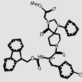 COC(=O)CN1CN(c2ccccc2)C2(CCN(C(=O)[C@@H](Cc3ccc(Cl)cc3)NC(=O)OCC3c4ccccc4-c4ccccc43)CC2)C1=O